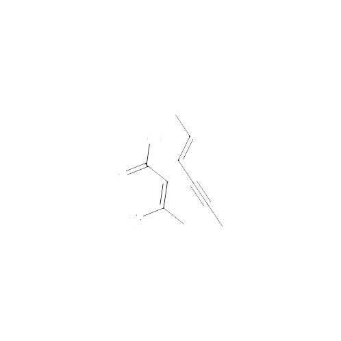 CC#CC=CC.CC(N)=CC(=O)O